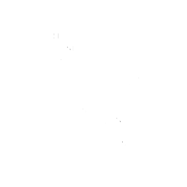 CN1CCc2c(Sc3ccc(C(=O)NO)cc3)c3ccc(F)cc3n2C1